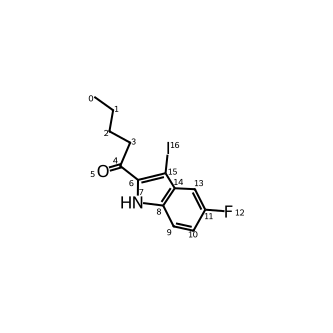 CCCCC(=O)c1[nH]c2ccc(F)cc2c1I